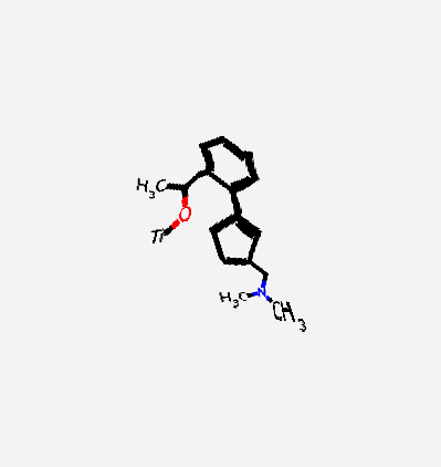 CC([O][Ti])c1ccccc1C1=CC(CN(C)C)=CC1